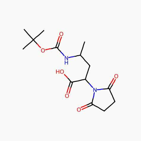 CC(CC(C(=O)O)N1C(=O)CCC1=O)NC(=O)OC(C)(C)C